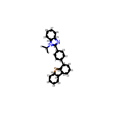 CC(C)n1c(-c2ccc(-c3cccc4c3sc3ccccc34)cc2)nc2ccccc21